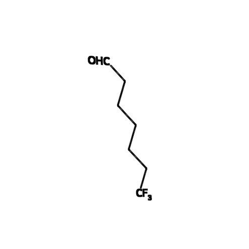 O=CCCCCCC(F)(F)F